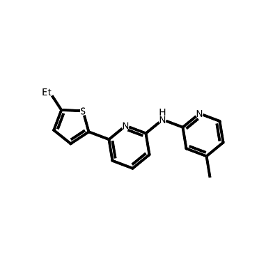 CCc1ccc(-c2cccc(Nc3cc(C)ccn3)n2)s1